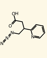 [N-]=[N+]=NCC(CC(=O)O)c1ccccn1